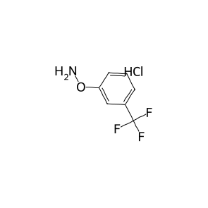 Cl.NOc1cccc(C(F)(F)F)c1